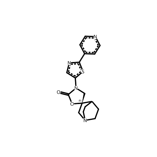 O=C1O[C@]2(CN3CCC2CC3)CN1c1cnc(-c2ccncc2)s1